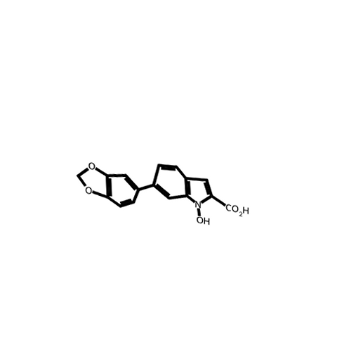 O=C(O)c1cc2ccc(-c3ccc4c(c3)OCO4)cc2n1O